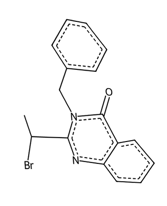 CC(Br)c1nc2ccccc2c(=O)n1Cc1ccccc1